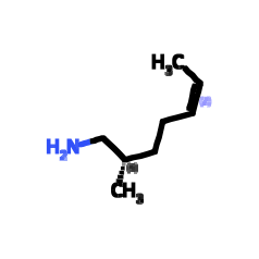 C/C=C\CC[C@H](C)CN